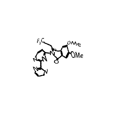 COc1cc2c(cc1OC)[C@H](CCC(F)(F)F)N(c1ccnc(-c3ncccn3)n1)C2=O